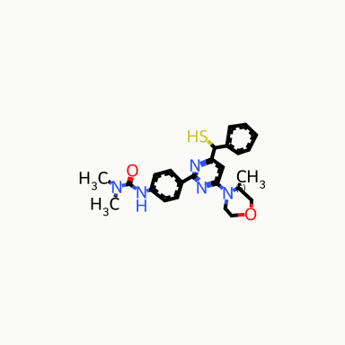 C[C@H]1COCCN1c1cc(C(S)c2ccccc2)nc(-c2ccc(NC(=O)N(C)C)cc2)n1